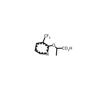 CC(Oc1ncccc1C(F)(F)F)C(=O)O